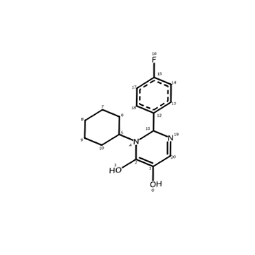 OC1=C(O)N(C2CCCCC2)C(c2ccc(F)cc2)N=C1